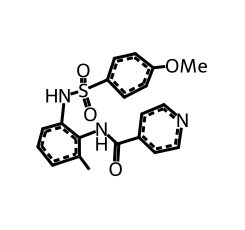 COc1ccc(S(=O)(=O)Nc2cccc(C)c2NC(=O)c2ccncc2)cc1